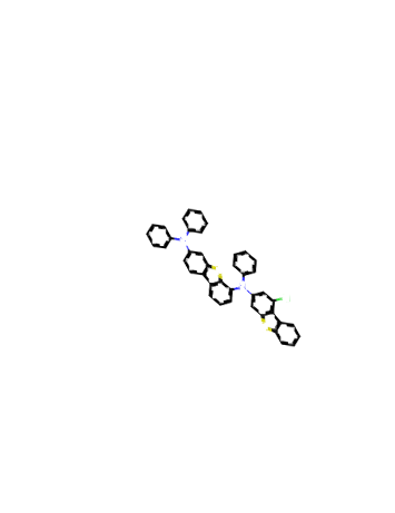 Clc1cc(N(c2ccccc2)c2cccc3c2sc2cc(N(c4ccccc4)c4ccccc4)ccc23)cc2sc3ccccc3c12